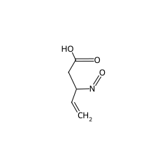 C=CC(CC(=O)O)N=O